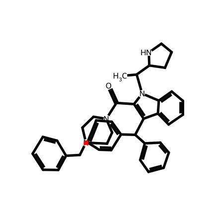 CC(C1CCCN1)n1c(C(=O)N2CCN(Cc3ccccc3)CC2)c(C(c2ccccc2)c2ccccc2)c2ccccc21